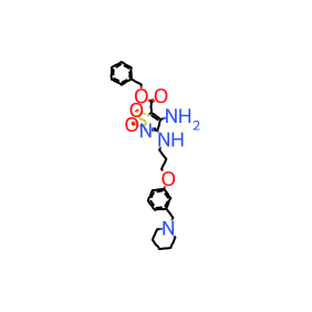 NC1=C(C(=O)OCc2ccccc2)S(=O)(=O)N=C1NCCCOc1cccc(CN2CCCCC2)c1